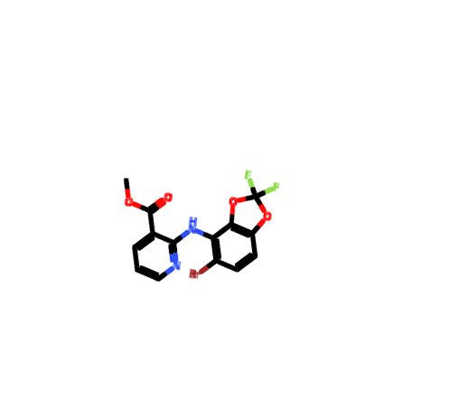 COC(=O)c1cccnc1Nc1c(Br)ccc2c1OC(F)(F)O2